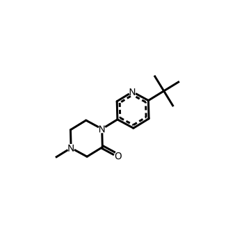 CN1CCN(c2ccc(C(C)(C)C)nc2)C(=O)C1